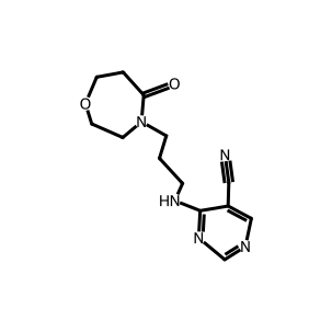 N#Cc1cncnc1NCCCN1CCOCCC1=O